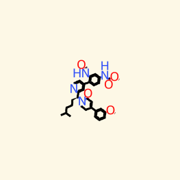 COC(=O)Nc1ccc(-c2ccnc([C@H](CCCC(C)C)N3CCC(c4cccc(OC)c4)=CC3=O)c2)c(NC=O)c1